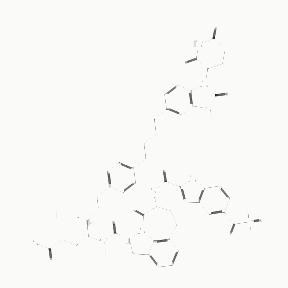 C[C@@H](OCc1ccc(CCCCc2ccc3c(c2)n(C)c(=O)n3C2CCC(=O)NC2=O)cc1)[C@H](CCC(N)=O)NC(=O)[C@@H]1Cc2cccc3c2N1C(=O)[C@@H](NC(=O)c1cc2cc(C(=O)P(=O)(O)O)ccc2[nH]1)CC3